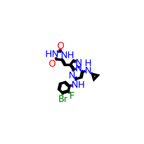 O=C1NC(=O)/C(=C/c2cnn3c(NC4CC4)cc(Nc4cccc(Br)c4F)nc23)N1